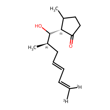 [2H]C([2H])=CC=CC[C@@H](C)C(O)[C@H]1C(=O)CCC1C